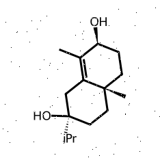 CC1=C2C[C@@](O)(C(C)C)CC[C@@]2(C)CC[C@@H]1O